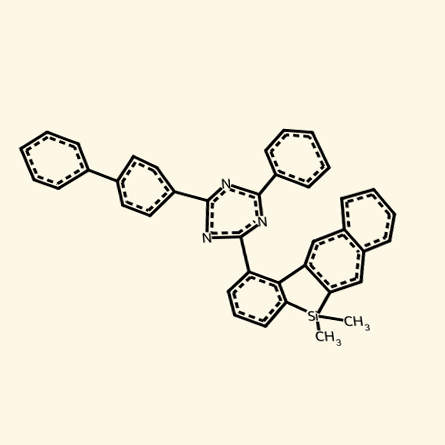 C[Si]1(C)c2cc3ccccc3cc2-c2c(-c3nc(-c4ccccc4)nc(-c4ccc(-c5ccccc5)cc4)n3)cccc21